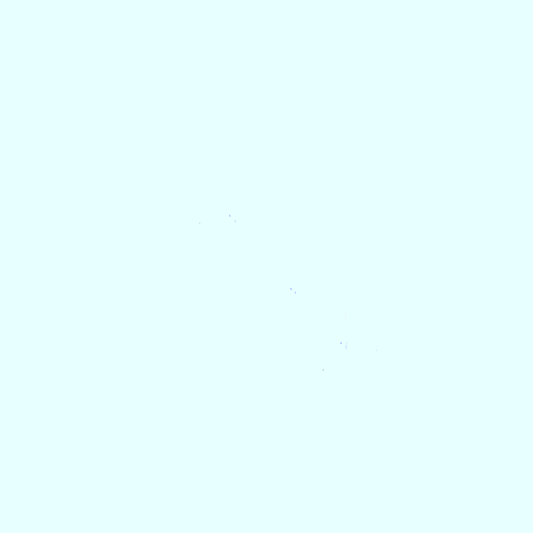 CC(=O)N(O)C1(CCN2CCC(N(C(=O)c3ccco3)c3ccc(C)cc3)CC2)CCCCC1